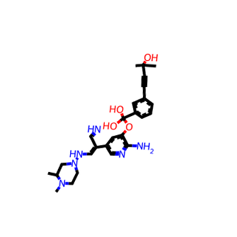 CC1CN(N/C=C(\C=N)c2cnc(N)c(OC(O)(O)c3cccc(C#CC(C)(C)O)c3)c2)CCN1C